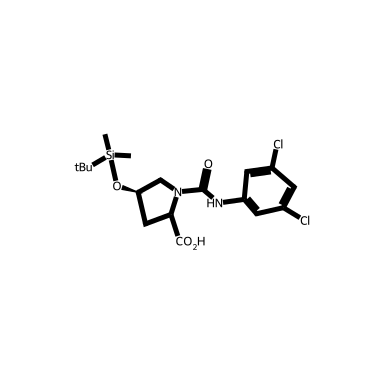 CC(C)(C)[Si](C)(C)O[C@@H]1CC(C(=O)O)N(C(=O)Nc2cc(Cl)cc(Cl)c2)C1